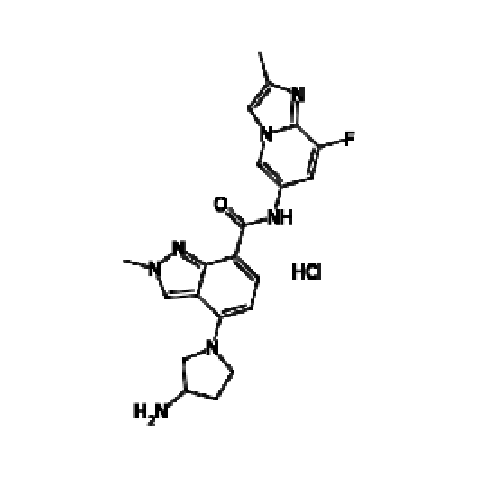 Cc1cn2cc(NC(=O)c3ccc(N4CCC(N)C4)c4cn(C)nc34)cc(F)c2n1.Cl